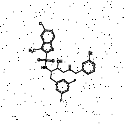 CCc1cccc(CNCC(O)C(Cc2cc(F)cc(F)c2)NS(=O)(=O)c2sc3ccc(Cl)cc3c2C)c1